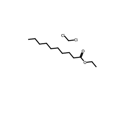 CCCCCCCCCC(=O)OCC.ClCCl